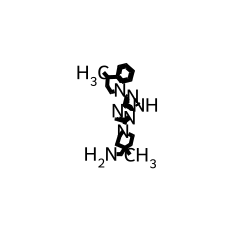 CC1CCN(c2n[nH]c3nc(N4CCC(C)(CN)CC4)cnc23)c2ccccc21